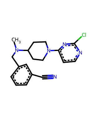 CN(Cc1cccc(C#N)c1)C1CCN(c2ccnc(Cl)n2)CC1